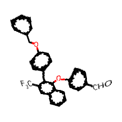 O=Cc1ccc(Oc2c(-c3ccc(OCc4ccccc4)cc3)c(C(F)(F)F)cc3ccccc23)cc1